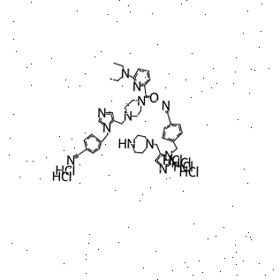 CCN(CC)c1cccc(C(=O)N2CCN(Cc3cncn3Cc3ccc(C#N)cc3)CC2)n1.Cl.Cl.Cl.Cl.Cl.Cl.N#Cc1ccc(Cn2cncc2CN2CCNCC2)cc1